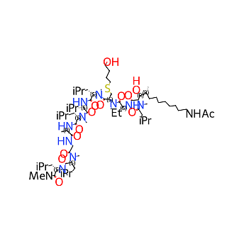 CC[C@H](NC(=O)C([C@H](O)[C@H](C)CCCCCCCCNC(C)=O)N(C)C(=O)CC(C)C)C(=O)N(C)[C@H](CSCCCCO)C(=O)N(C)[C@@H](CC(C)C)C(=O)N[C@H](C(=O)N(C)[C@@H](CC(C)C)C(=O)N[C@H](C)C(=O)NCC(=O)N(C)[C@@H](CC(C)C)C(=O)N(C)[C@@H](CC(C)C)C(=O)NC)C(C)C